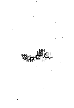 CCCCC(CO)Nc1nc(N)nc2cc(-c3ccc(CN4CCN(C)CC4)nc3)cnc12